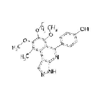 COc1c(OC)c(C)c2c(c(-c3ccc(O)cc3)nc3[nH]ncc32)c1OC